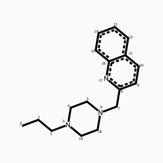 [CH2]CCN1CCN(Cc2ccc3ccccc3n2)CC1